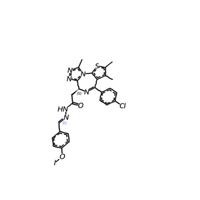 Cc1sc2c(c1C)C(c1ccc(Cl)cc1)=N[C@@H](CC(=O)N/N=C/c1ccc(OI)cc1)c1nnc(C)n1-2